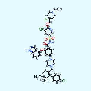 CC1(C)CCC(CN2CCN(c3ccc(C(=O)NS(=O)(=O)c4cnc(OCC5(F)CCN(CC#N)CC5)c(Cl)c4)c(Oc4cccc5[nH]ncc45)c3)CC2)=C(c2ccc(Cl)cc2)C1